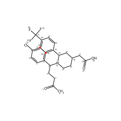 CC(=O)CCC(c1ccc(Cl)cc1)N1CCC(CC(=O)O)CC1c1ccc(C(F)(F)F)cc1